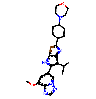 COc1cc(-c2[nH]c3sc(C4CCC(N5CCOCC5)CC4)nc3c2C(C)C)cn2ncnc12